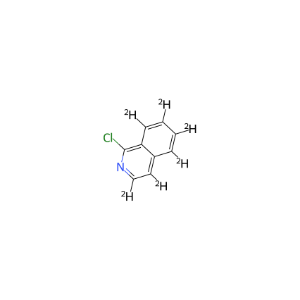 [2H]c1nc(Cl)c2c([2H])c([2H])c([2H])c([2H])c2c1[2H]